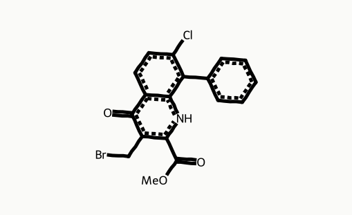 COC(=O)c1[nH]c2c(-c3ccccc3)c(Cl)ccc2c(=O)c1CBr